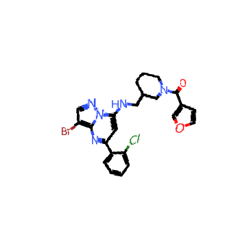 O=C(c1ccoc1)N1CCCC(CNc2cc(-c3ccccc3Cl)nc3c(Br)cnn23)C1